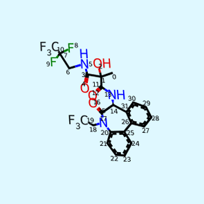 CC(O)(C(=O)NCC(F)(F)C(F)(F)F)C(=O)N[C@@H]1C(=O)N(CC(F)(F)F)c2ccccc2-c2ccccc21